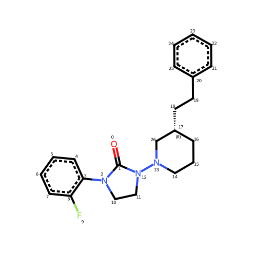 O=C1N(c2ccccc2F)CCN1N1CCC[C@@H](CCc2ccccc2)C1